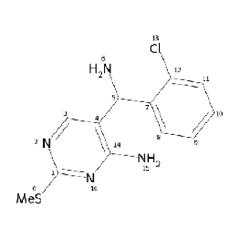 CSc1ncc(C(N)c2ccccc2Cl)c(N)n1